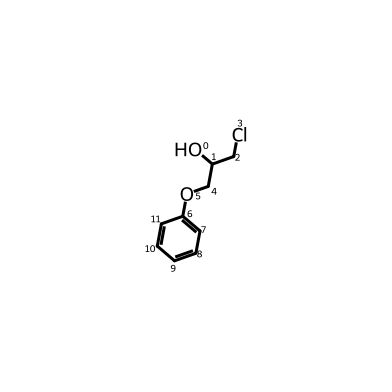 OC(CCl)COc1ccccc1